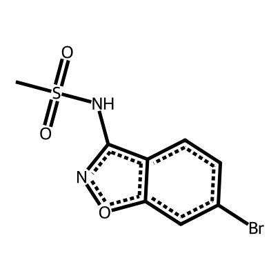 CS(=O)(=O)Nc1noc2cc(Br)ccc12